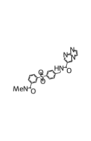 CNC(=O)c1cccc(S(=O)(=O)c2ccc(CNC(=O)c3cnc4nccn4c3)cc2)c1